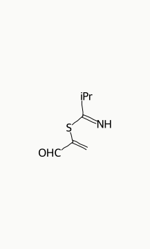 C=C(C=O)SC(=N)C(C)C